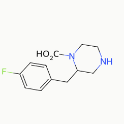 O=C(O)N1CCNCC1Cc1ccc(F)cc1